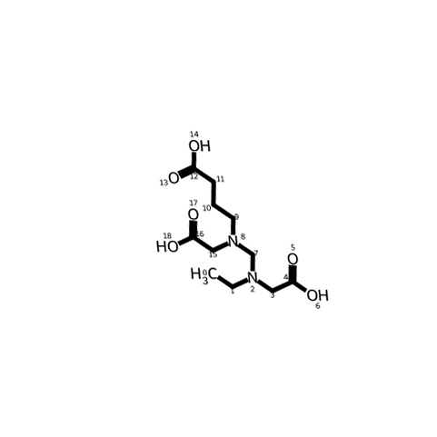 CCN(CC(=O)O)CN(CCCC(=O)O)CC(=O)O